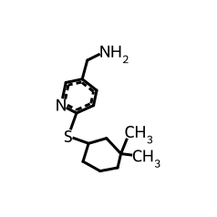 CC1(C)CCCC(Sc2ccc(CN)cn2)C1